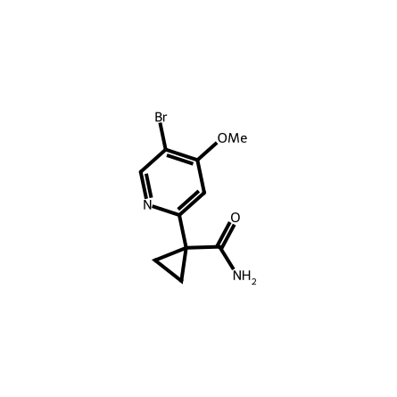 COc1cc(C2(C(N)=O)CC2)ncc1Br